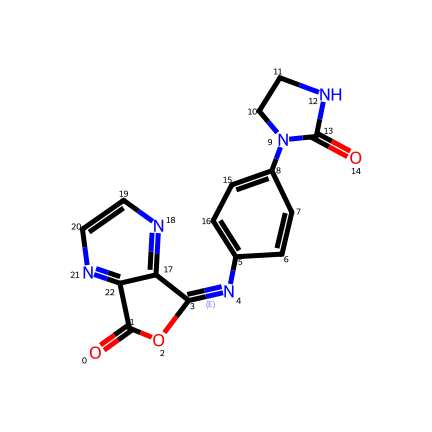 O=C1O/C(=N/c2ccc(N3CCNC3=O)cc2)c2nccnc21